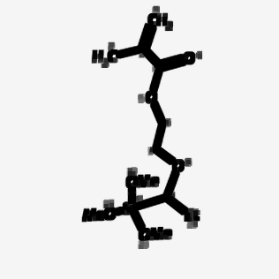 C=C(C)C(=O)OCCOC(CC)[Si](OC)(OC)OC